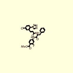 COC(=O)c1ccc(NC(=O)C(Cc2ccccc2)NC(=O)C=Cc2cc(Cl)ccc2-n2cnnn2)cc1F